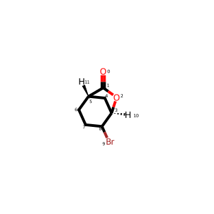 O=C1O[C@@H]2C[C@@H]1CCC2Br